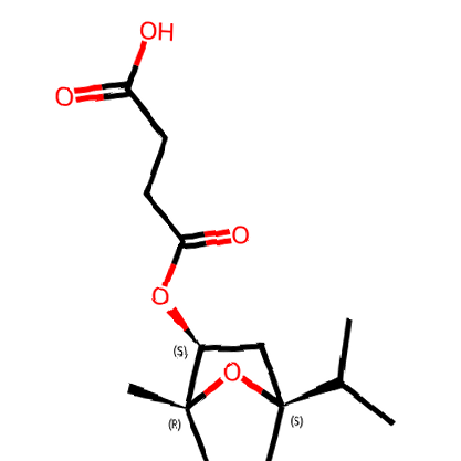 CC(C)[C@@]12CC[C@@](C)(O1)[C@@H](OC(=O)CCC(=O)O)C2